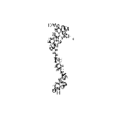 CCOc1cc(C(C[S+](C)[O-])N2C(=O)c3cccc(NC(=O)CCCCNCc4ccc(OCc5scc6c5CN(C5CCC(=O)NC5=O)C6=O)cc4)c3C2=O)ccc1OC